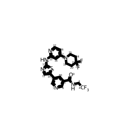 O=C(NCC(F)(F)F)c1cncc(-c2cnc(Nc3cc(N4CCC(F)(F)CC4)ccn3)s2)c1